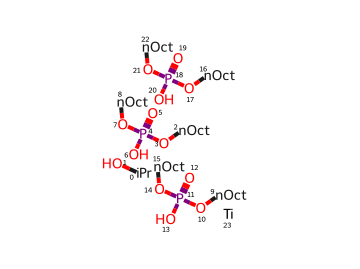 CC(C)O.CCCCCCCCOP(=O)(O)OCCCCCCCC.CCCCCCCCOP(=O)(O)OCCCCCCCC.CCCCCCCCOP(=O)(O)OCCCCCCCC.[Ti]